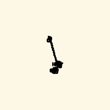 CC(C)(C)OC(=O)CCCCCCCCCCCCCCCCCCC(=O)NC(CCC(=O)ON1C(=O)CCC1=O)C(=O)OC(C)(C)C